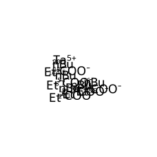 CCCCC(CC)C(=O)[O-].CCCCC(CC)C(=O)[O-].CCCCC(CC)C(=O)[O-].CCCCC(CC)C(=O)[O-].CCCCC(CC)C(=O)[O-].[Ta+5]